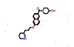 O=C(c1ccc2cc(OCCCC3CCCNC3)ccc2c1)N1CCC(O)CC1